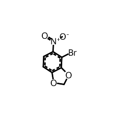 O=[N+]([O-])c1ccc2c(c1Br)OCO2